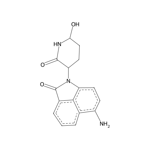 Nc1ccc2c3c(cccc13)C(=O)N2C1CCC(O)NC1=O